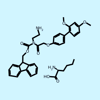 CCCC[C@H](N)C(=O)O.COc1ccc(-c2ccc(OCC(=O)N(CCN)C(=O)OCC3c4ccccc4-c4ccccc43)cc2)c(OC)c1